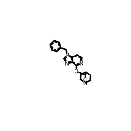 c1ccc(Cn2cnc3c(OC4CN5CCC4CC5)nccc32)cc1